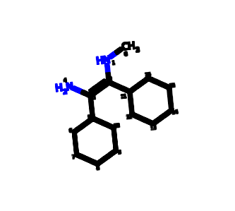 CN/C(=C(\N)C1CCCCC1)C1CCCCC1